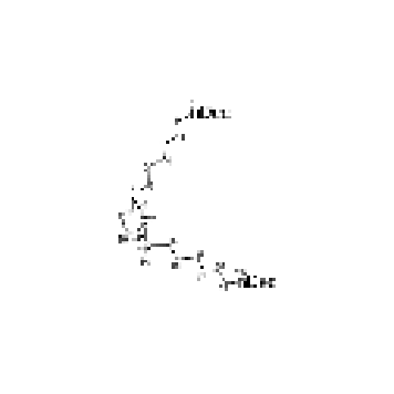 CCCCCCCCCCCCCCCCCn1cc[n+](C(C)CCCCCCCCCCCCCCCC)c1